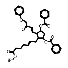 CC(C)OC(=O)CCCC=CCC1C(OC(=O)c2ccccc2)CC(OC(=O)c2ccccc2)C1C=CC(=O)COc1ccccc1